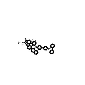 C[C@H]1C[C@@H]2C[C@H](C1)C1(c3ccccc3-c3c(N(c4ccc(-c5ccc(-n6c7ccccc7c7ccccc76)cc5)cc4)c4cccc5ccccc45)cccc31)[C@H](C)C2